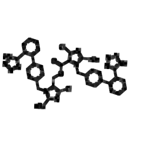 CCCCc1nc(Cl)c(COC(=O)c2c(Cl)nc(CCCC)n2Cc2ccc(-c3ccccc3-c3nnn[nH]3)cc2)n1Cc1ccc(-c2ccccc2-c2nnn[nH]2)cc1